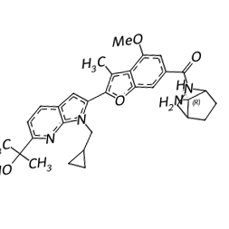 COc1cc(C(=O)N2CC3CCC2[C@@H]3N)cc2oc(-c3cc4ccc(C(C)(C)O)nc4n3CC3CC3)c(C)c12